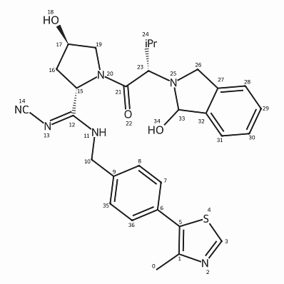 Cc1ncsc1-c1ccc(CN/C(=N/C#N)[C@@H]2C[C@@H](O)CN2C(=O)[C@H](C(C)C)N2Cc3ccccc3C2O)cc1